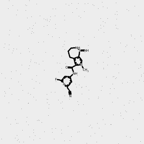 Cn1cc2c(c1C(=O)Nc1cc(F)nc(C#N)c1)CCCNS2=N